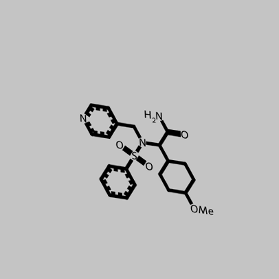 COC1CCC(C(C(N)=O)N(Cc2ccncc2)S(=O)(=O)c2ccccc2)CC1